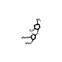 CCCCCc1cc(Sc2ccc([N+](=O)[O-])cc2[N+](=O)[O-])sc1CCCCC